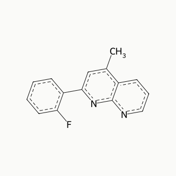 Cc1cc(-c2ccccc2F)nc2ncccc12